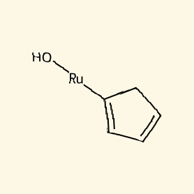 [OH][Ru][C]1=CC=CC1